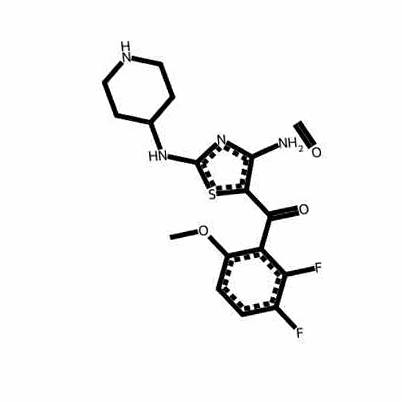 C=O.COc1ccc(F)c(F)c1C(=O)c1sc(NC2CCNCC2)nc1N